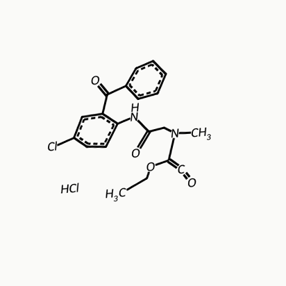 CCOC(=C=O)N(C)CC(=O)Nc1ccc(Cl)cc1C(=O)c1ccccc1.Cl